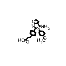 COc1ccc(N2C(c3ccc(CCC(=O)O)cc3)=Nc3occc3C2N)cc1